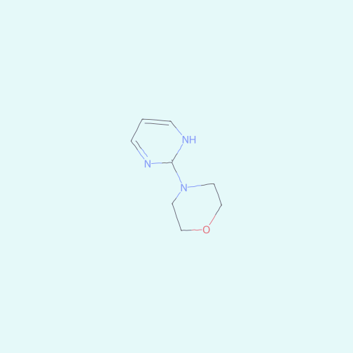 C1=CN[C](N2CCOCC2)N=C1